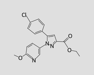 CCOC(=O)c1cc(-c2ccc(Cl)cc2)n(-c2ccc(OC)nc2)n1